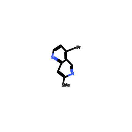 CSc1cc2nccc(C(C)C)c2cn1